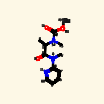 CC(C(=O)N(C)c1ccccn1)N(C)C(=O)OC(C)(C)C